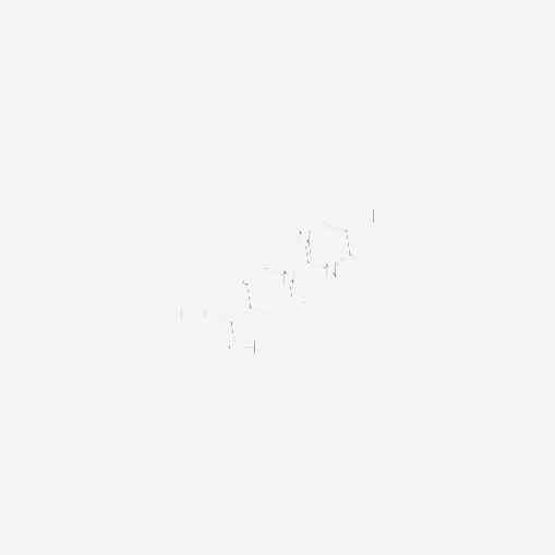 CC(O)C1CCN(c2ncc(Cl)cn2)CC1